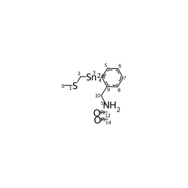 CS[CH2][Sn+2][c]1ccccc1CN.C[O-].C[O-]